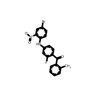 Cc1ccccc1C(=O)c1ccc(Nc2ccc(Br)cc2[N+](=O)[O-])cc1F